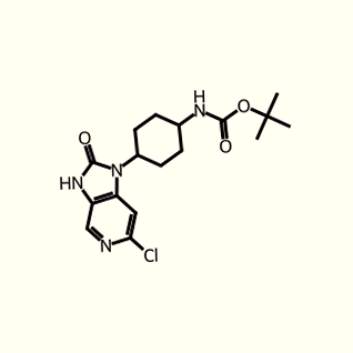 CC(C)(C)OC(=O)NC1CCC(n2c(=O)[nH]c3cnc(Cl)cc32)CC1